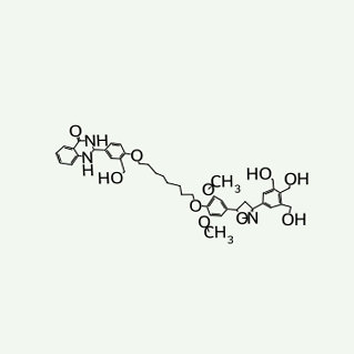 COc1cc(C2CC(c3cc(CO)c(CO)c(CO)c3)=NO2)cc(OC)c1OCCCCCCCCOc1ccc(C2NC(=O)c3ccccc3N2)cc1CO